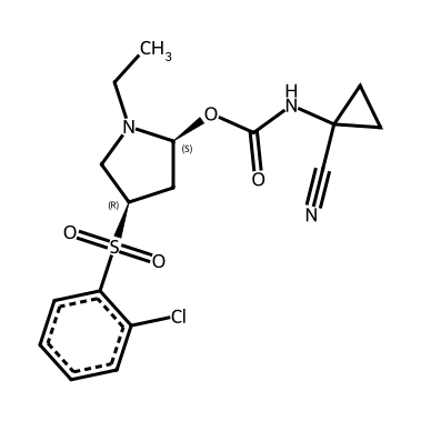 CCN1C[C@H](S(=O)(=O)c2ccccc2Cl)C[C@@H]1OC(=O)NC1(C#N)CC1